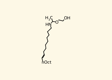 CCCCCCCCC=CCCCCCCCCNC(C)OCCO